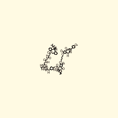 COc1ccc(C2=CN3C(=O)c4cc(OC)c(OCCCCCOc5cc6c(cc5OC)C(=O)N5CC7(CC7)C[C@H]5[C@H](O)N6C(=O)OCc5ccc(NC(=O)[C@H](C)NC(=O)[C@@H](NC(=O)CNC(=O)CNC(=O)CCC(=O)N6Cc7ccccc7-c7nnn(C(C)(C)C(C)C)c7-c7ccccc76)C(C)C)cc5)cc4NC[C@@H]3C2)cc1